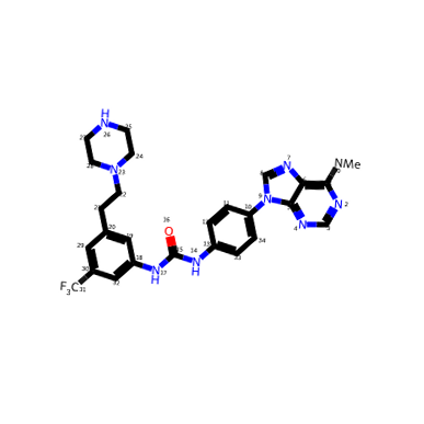 CNc1ncnc2c1ncn2-c1ccc(NC(=O)Nc2cc(CCN3CCNCC3)cc(C(F)(F)F)c2)cc1